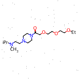 CCOCCOCCOCC(=O)N1CCN(CCN(C)C(C)C)CC1